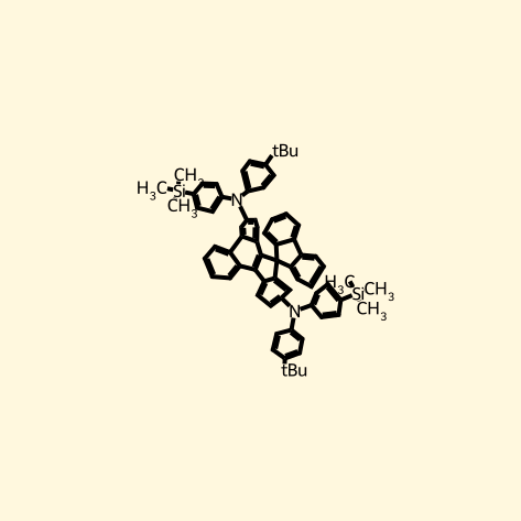 CC(C)(C)c1ccc(N(c2ccc([Si](C)(C)C)cc2)c2ccc3c(c2)C2(c4ccccc4-c4ccccc42)c2c-3c3ccccc3c3cc(N(c4ccc(C(C)(C)C)cc4)c4ccc([Si](C)(C)C)cc4)ccc23)cc1